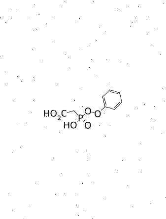 O=C(O)CP(=O)(O)OOc1ccccc1